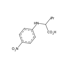 CC(C)C(Nc1ccc([N+](=O)[O-])cc1)C(=O)O